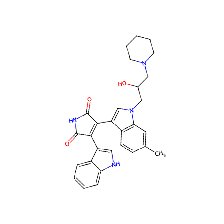 Cc1ccc2c(C3=C(c4c[nH]c5ccccc45)C(=O)NC3=O)cn(CC(O)CN3CCCCC3)c2c1